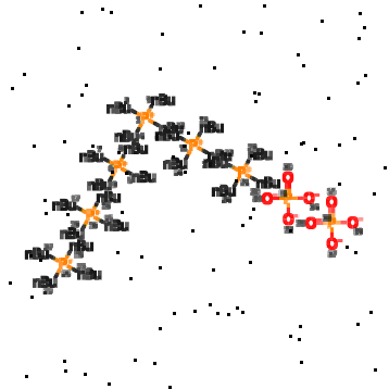 CCCC[P+](CCCC)(CCCC)CCCC.CCCC[P+](CCCC)(CCCC)CCCC.CCCC[P+](CCCC)(CCCC)CCCC.CCCC[P+](CCCC)(CCCC)CCCC.CCCC[P+](CCCC)(CCCC)CCCC.CCCC[P+](CCCC)(CCCC)CCCC.O=P([O-])([O-])[O-].O=P([O-])([O-])[O-]